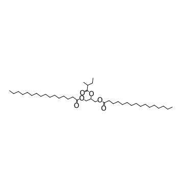 CCCCCCCCCCCCCCCC(=O)OCC(COC(=O)CCCCCCCCCCCCCCC)OC(=O)C(C)CC